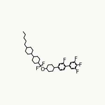 CCCCCC1CCC(C2CCC(C(F)(F)OC3CCC(c4ccc(-c5cc(F)c(F)c(F)c5)c(F)c4)CC3)CC2)CC1